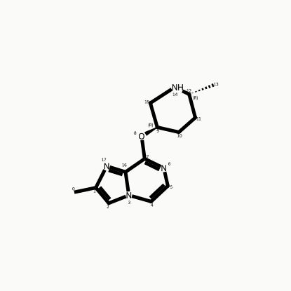 Cc1cn2ccnc(O[C@@H]3CC[C@@H](C)NC3)c2n1